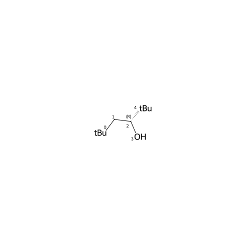 CC(C)(C)C[C@@H](O)C(C)(C)C